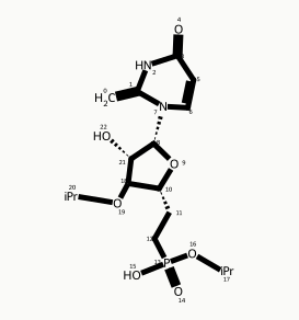 C=C1NC(=O)C=CN1[C@@H]1O[C@H](CCP(=O)(O)OC(C)C)C(OC(C)C)[C@@H]1O